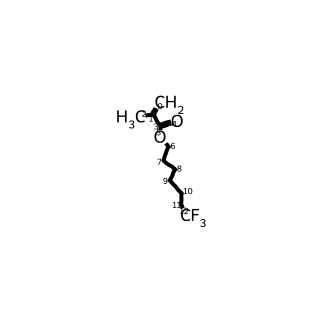 C=C(C)C(=O)OCCCCCCC(F)(F)F